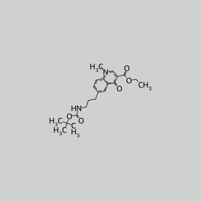 CCOC(=O)c1cn(C)c2ccc(CCCNC(=O)OC(C)(C)C)cc2c1=O